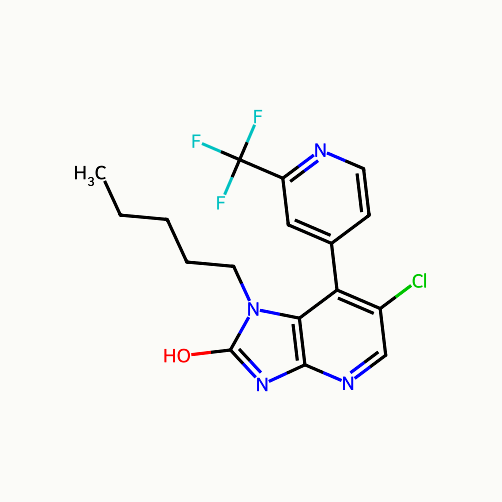 CCCCCn1c(O)nc2ncc(Cl)c(-c3ccnc(C(F)(F)F)c3)c21